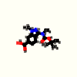 CN(C(=O)OC(C)(C)C)c1nn(C)c2cc(C(=O)O)ccc12